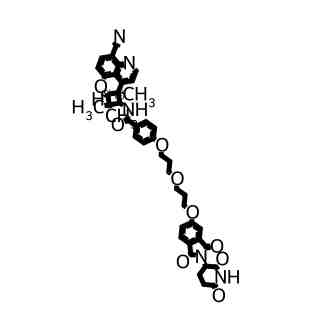 CC1(C)C(NC(=O)c2ccc(OCCCOCCCOc3ccc4c(c3)C(=O)N(C3CCC(=O)NC3=O)C4=O)cc2)[C@]2(C)c3ccnc4c(C#N)ccc(c34)O[C@@H]12